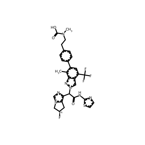 Cc1c(-c2ccc(CCN(C)C(=O)O)cc2)cc(C(F)(F)F)c2cn(C(C(=O)Nc3nccs3)c3ncn4c3C[C@@H](F)C4)nc12